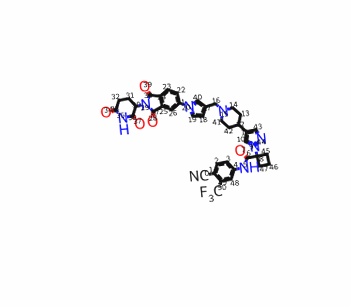 N#Cc1ccc(NC(=O)C2(n3cc(C4CCN(Cc5ccn(-c6ccc7c(c6)C(=O)N(C6CCC(=O)NC6=O)C7=O)c5)CC4)cn3)CCC2)cc1C(F)(F)F